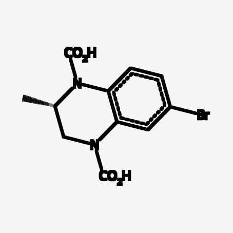 C[C@H]1CN(C(=O)O)c2cc(Br)ccc2N1C(=O)O